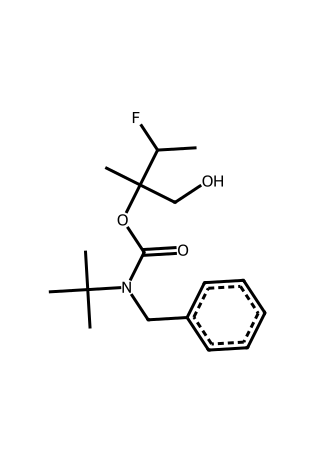 CC(F)C(C)(CO)OC(=O)N(Cc1ccccc1)C(C)(C)C